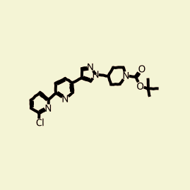 CC(C)(C)OC(=O)N1CCC(n2cc(-c3ccc(-c4cccc(Cl)n4)nc3)cn2)CC1